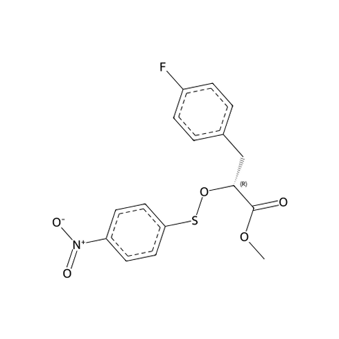 COC(=O)[C@@H](Cc1ccc(F)cc1)OSc1ccc([N+](=O)[O-])cc1